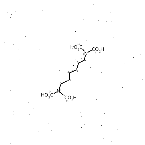 O=C(O)N(CCCCCCN(C(=O)O)C(=O)O)C(=O)O